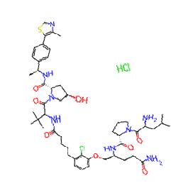 Cc1ncsc1-c1ccc([C@H](C)NC(=O)[C@@H]2C[C@@H](O)CN2C(=O)[C@@H](NC(=O)CCCCc2cccc(OC[C@H](CCC(N)=O)NC(=O)[C@@H]3CCCN3C(=O)[C@@H](N)CC(C)C)c2Cl)C(C)(C)C)cc1.Cl